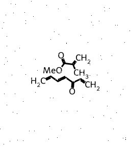 C=C(C)C(=O)OC.C=CC=CC(=O)C=C